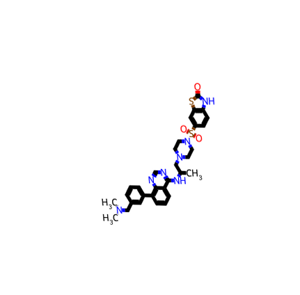 CC(CN1CCN(S(=O)(=O)c2ccc3[nH]c(=O)sc3c2)CC1)Nc1ncnc2c(-c3cccc(CN(C)C)c3)cccc12